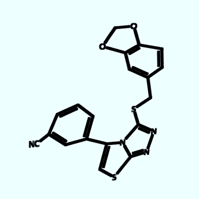 N#Cc1cccc(-c2csc3nnc(SCc4ccc5c(c4)OCO5)n23)c1